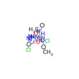 Cc1ccc(-c2nc([C@H](CC(=O)N(C)Cc3ccccc3)NC(=O)/C=C/c3cc(Cl)ccc3-n3cnnn3)[nH]c2Cl)cc1